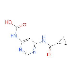 O=C(O)Nc1cc(NC(=O)C2CC2)ncn1